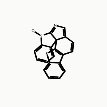 [O-][S+]1C2=NC=C3C=Cc4c(sc5ccccc45)C32c2ccccc21